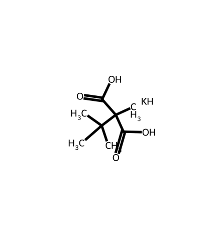 CC(C)(C)C(C)(C(=O)O)C(=O)O.[KH]